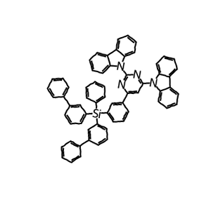 c1ccc(-c2cccc([Si](c3ccccc3)(c3cccc(-c4ccccc4)c3)c3cccc(-c4cc(-n5c6ccccc6c6ccccc65)nc(-n5c6ccccc6c6ccccc65)n4)c3)c2)cc1